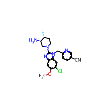 N#Cc1ccc(Cn2c(N3CC[C@@H](F)[C@H](N)C3)nc3cc(OC(F)(F)F)c(Cl)cc32)nc1